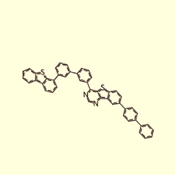 c1ccc(-c2ccc(-c3ccc4sc5c(-c6cccc(-c7cccc(-c8cccc9c8sc8ccccc89)c7)c6)ncnc5c4c3)cc2)cc1